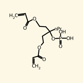 C=CC(=O)OCCC(CCC)(CCOC(=O)C=C)OP(=O)(O)O